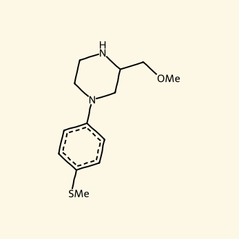 COCC1CN(c2ccc(SC)cc2)CCN1